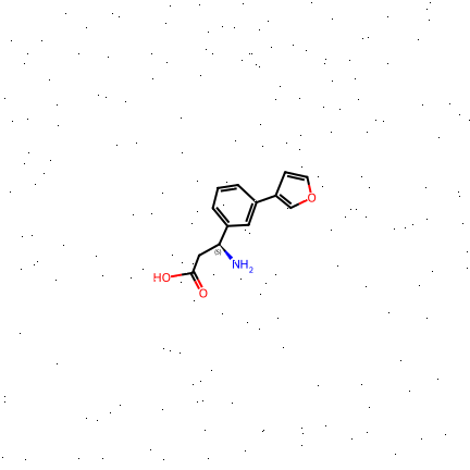 N[C@@H](CC(=O)O)c1cccc(-c2ccoc2)c1